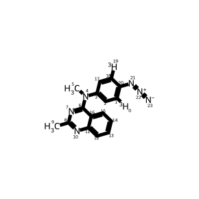 [3H]c1cc(N(C)c2nc(C)nc3ccccc23)cc([3H])c1N=[N+]=[N-]